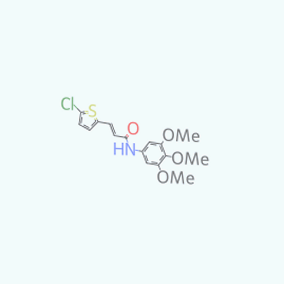 COc1cc(NC(=O)/C=C/c2ccc(Cl)s2)cc(OC)c1OC